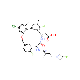 C/C(=C\N[C@@H]1C(=O)N[C@@H](CC(=O)O)c2cc(cc(C)c2F)-c2c(C)cc(Cl)cc2OCc2ccc(F)c1c2)CCN1CC(F)C1